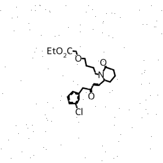 CCOC(=O)COCCCCN1C(=O)CCCC1C=CC(=O)Cc1cccc(Cl)c1